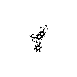 COC(=O)c1ccc2cc(OCc3ccccc3)c(C(=O)OC)cc2c1